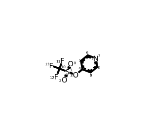 O=S(=O)(Oc1ccncc1)C(F)(F)F